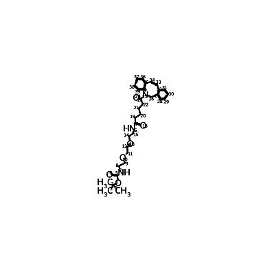 CC(C)(C)OC(=O)NCCOCCOCCNC(=O)CCCCC(=O)N1Cc2ccccc2/C=C\c2ccccc21